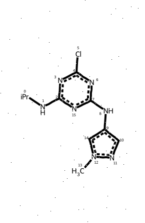 CC(C)Nc1nc(Cl)nc(Nc2cnn(C)c2)n1